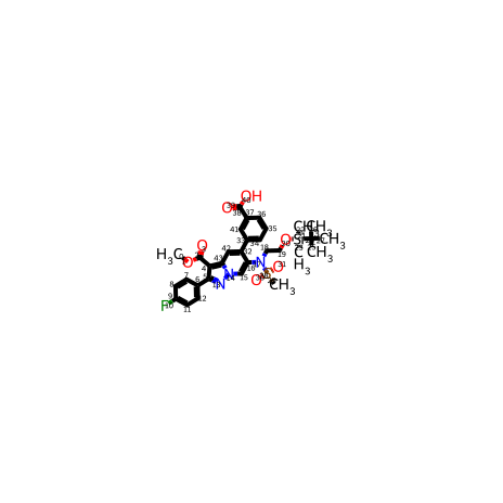 COC(=O)c1c(-c2ccc(F)cc2)nn2cc(N(CCO[Si](C)(C)C(C)(C)C)S(C)(=O)=O)c(-c3cccc(C(=O)O)c3)cc12